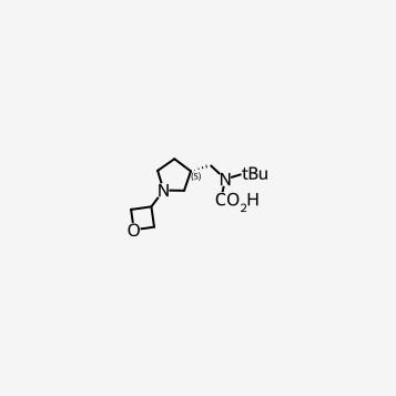 CC(C)(C)N(C[C@H]1CCN(C2COC2)C1)C(=O)O